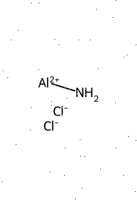 [Cl-].[Cl-].[NH2][Al+2]